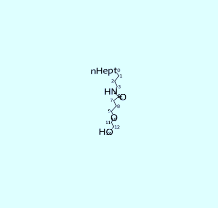 CCCCCCCCCCNC(=O)CCCOCCO